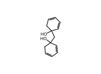 OC1(CC2(O)C=CC=CC2)C=CC=CC1